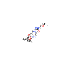 COCCNC(=O)CN1CCC(NC(=O)OC(C)(C)C)CC1